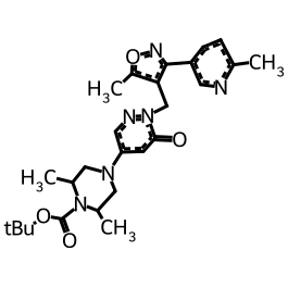 Cc1ccc(-c2noc(C)c2Cn2ncc(N3CC(C)N(C(=O)OC(C)(C)C)C(C)C3)cc2=O)cn1